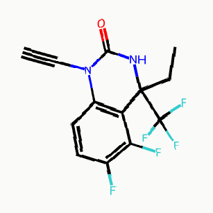 C#CN1C(=O)NC(CC)(C(F)(F)F)c2c1ccc(F)c2F